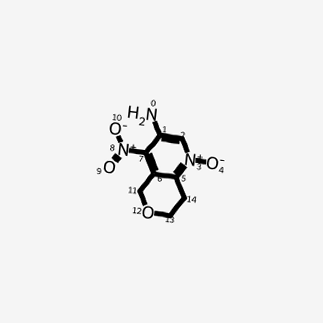 Nc1c[n+]([O-])c2c(c1[N+](=O)[O-])COCC2